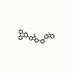 CCC1(C)c2cc(-c3cccc(-c4ccc5sc6ccccc6c5c4)c3)ccc2-c2ccc(-c3cnc4c5ccccc5c5ccccc5c4n3)cc21